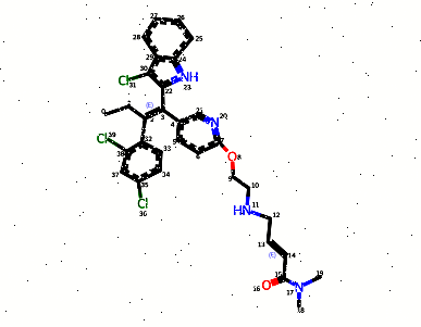 CC/C(=C(/c1ccc(OCCNC/C=C/C(=O)N(C)C)nc1)c1[nH]c2ccccc2c1Cl)c1ccc(Cl)cc1Cl